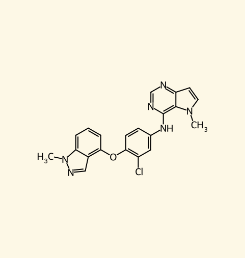 Cn1ccc2ncnc(Nc3ccc(Oc4cccc5c4cnn5C)c(Cl)c3)c21